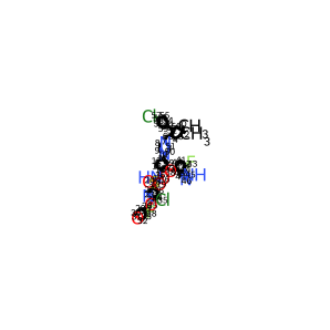 CC1(C)CCC(CN2CCN(c3ccc(C(=O)NS(=O)(=O)c4cnc(OCC5(F)CCOCC5)c(Cl)c4)c(Oc4ccc(F)c5[nH]ncc45)c3)CC2)=C(c2ccc(Cl)cc2)C1